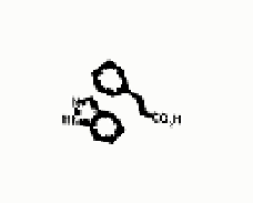 O=C(O)C=Cc1ccccc1.c1ccc2[nH]ncc2c1